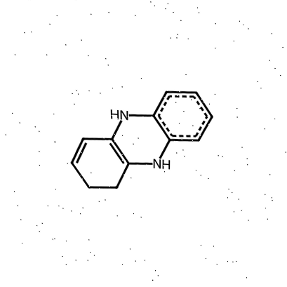 C1=CC2=C(CC1)Nc1ccccc1N2